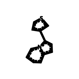 c1ccn2c(-c3ccsc3)ccc2c1